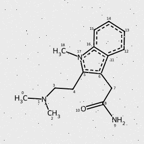 CN(C)CCc1c(CC(N)=O)c2ccccc2n1C